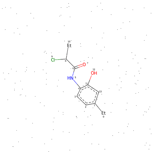 CCc1ccc(NC(=O)C(Cl)CC)c(O)c1